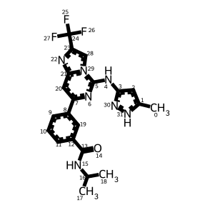 Cc1cc(Nc2nc(-c3cccc(C(=O)NC(C)C)c3)cc3nc(C(F)(F)F)cn23)n[nH]1